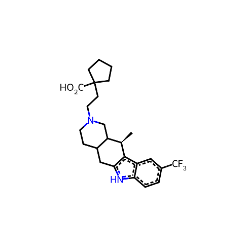 C[C@H]1c2c([nH]c3ccc(C(F)(F)F)cc23)CC2CCN(CCC3(C(=O)O)CCCC3)CC21